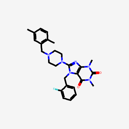 Cc1ccc(C)c(CN2CCN(c3nc4c(c(=O)n(C)c(=O)n4C)n3Cc3ccccc3F)CC2)c1